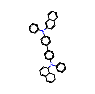 C1=CC2C=CC(N(c3ccccc3)c3ccc(-c4ccc(N(c5ccccc5)C5C=CC=C6C=CCCC65)cc4)cc3)=CC2C=C1